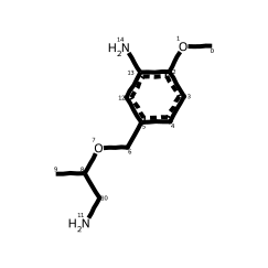 COc1ccc(COC(C)CN)cc1N